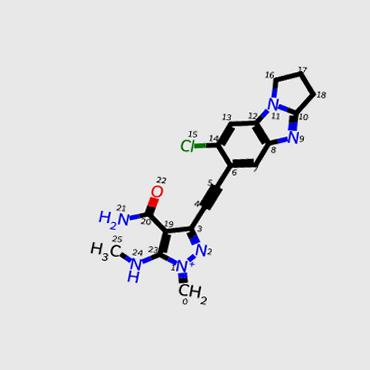 C=[N+]1N=C(C#Cc2cc3nc4n(c3cc2Cl)CCC4)C(C(N)=O)=C1NC